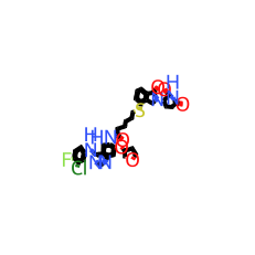 O=C1CCC(N2Cc3c(SCCCCCC(=O)Nc4cc5c(Nc6ccc(F)c(Cl)c6)ncnc5cc4OC4CCOC4)cccc3C2=O)C(=O)N1